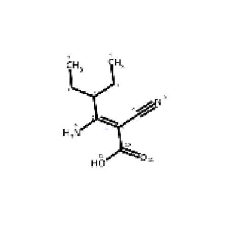 CCC(CC)/C(N)=C(\C#N)C(=O)O